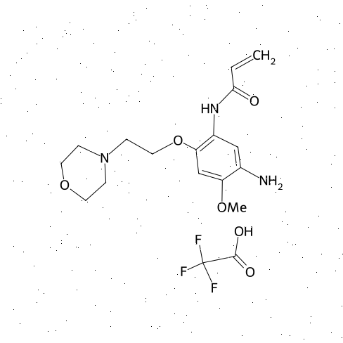 C=CC(=O)Nc1cc(N)c(OC)cc1OCCN1CCOCC1.O=C(O)C(F)(F)F